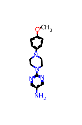 COc1ccc(N2CCN(c3ncc(N)cn3)CC2)cc1